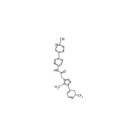 Cc1c(C2=CC=NC(C(F)(F)F)C2)ncn1CC(=O)Nc1ccc(-c2ccc(C#N)nc2)cn1